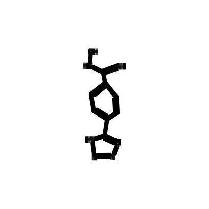 N=C(NO)c1ccc(-c2nnn[nH]2)cc1